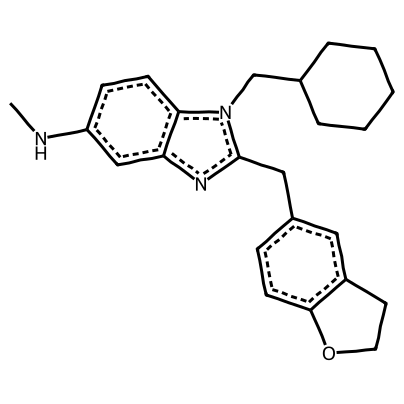 CNc1ccc2c(c1)nc(Cc1ccc3c(c1)CCO3)n2CC1CCCCC1